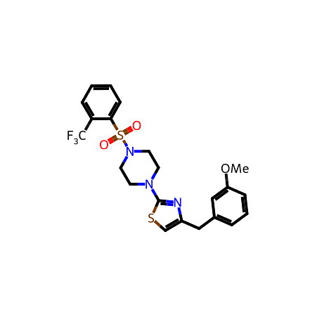 COc1cccc(Cc2csc(N3CCN(S(=O)(=O)c4ccccc4C(F)(F)F)CC3)n2)c1